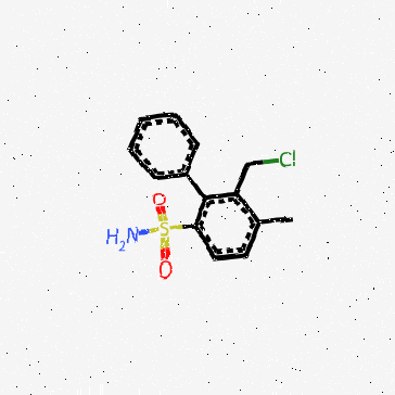 Cc1ccc(S(N)(=O)=O)c(-c2ccccc2)c1CCl